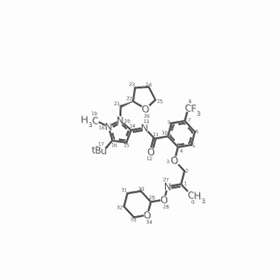 CC(COc1ccc(C(F)(F)F)cc1C(=O)N=c1cc(C(C)(C)C)n(C)n1C[C@H]1CCCO1)=NOC1CCCCO1